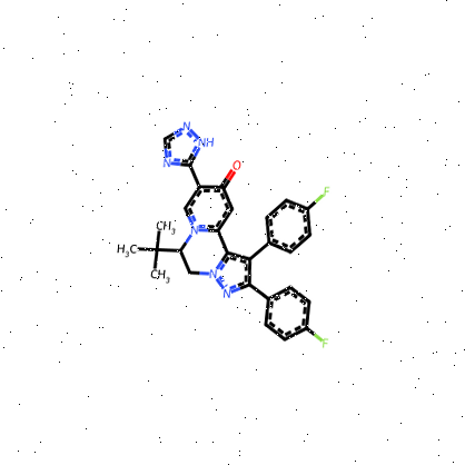 CC(C)(C)C1Cn2nc(-c3ccc(F)cc3)c(-c3ccc(F)cc3)c2-c2cc(=O)c(-c3ncn[nH]3)cn21